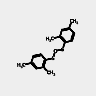 Cc1ccc(SOSc2ccc(C)cc2C)c(C)c1